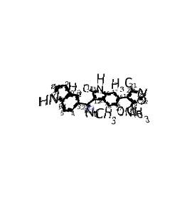 C/N=C(/c1ccc2[nH]ccc2c1)c1c(C)[nH]c2cc(-c3c(C)noc3C)c(OC)cc12